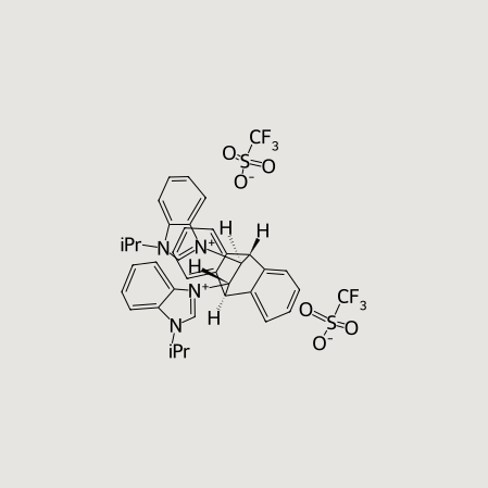 CC(C)n1c[n+]([C@H]2[C@H]3c4ccccc4[C@@H](c4ccccc43)[C@@H]2[n+]2cn(C(C)C)c3ccccc32)c2ccccc21.O=S(=O)([O-])C(F)(F)F.O=S(=O)([O-])C(F)(F)F